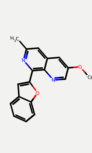 COc1cnc2c(-c3cc4ccccc4o3)nc(C)cc2c1